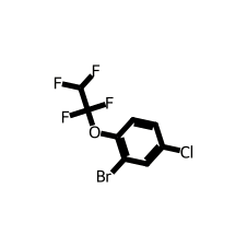 FC(F)C(F)(F)Oc1ccc(Cl)cc1Br